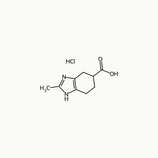 Cc1nc2c([nH]1)CCC(C(=O)O)C2.Cl